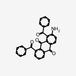 Nc1ccc2c(c1C(=O)c1ccccc1)C(=O)c1c(C(=O)c3ccccc3)cccc1C2=O